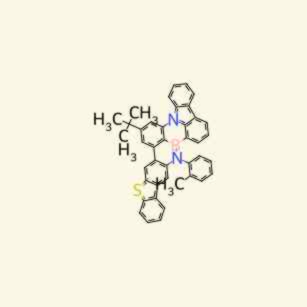 Cc1ccccc1N1B2c3c(cc(C(C)(C)C)cc3-n3c4ccccc4c4cccc2c43)-c2cc3sc4ccccc4c3cc21